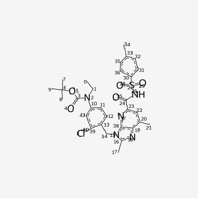 CCN(C(=O)OC(C)(C)C)c1ccc(Cn2c(C)nc3c(C)cc(C(=O)NS(=O)(=O)c4ccc(C)cc4)nc32)c(Cl)c1